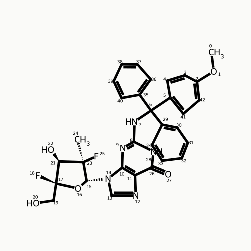 COc1ccc(C(Nc2nc3c(ncn3[C@@H]3O[C@](F)(CO)[C@@H](O)[C@@]3(C)F)c(=O)[nH]2)(c2ccccc2)c2ccccc2)cc1